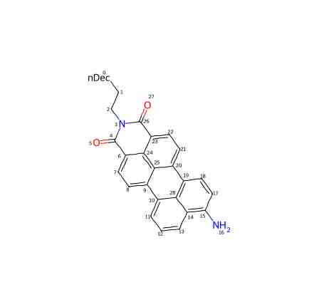 CCCCCCCCCCCCN1C(=O)c2ccc3c4cccc5c(N)ccc(c6ccc(c2c36)C1=O)c54